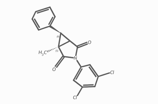 C[C@@]12C(=O)N(c3cc(Cl)cc(Cl)c3)C(=O)C1[C@@H]2c1ccccc1